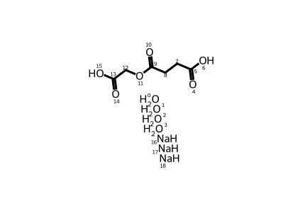 O.O.O.O.O=C(O)CCC(=O)OCC(=O)O.[NaH].[NaH].[NaH]